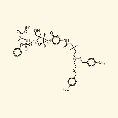 CC(C)OC(=O)[C@H](C)NP(=O)(OC[C@H]1OC2(F)[C@@H](n3ccc(NC(=O)CC(C)(C)CC[C@H](CCSCc4ccc(C(F)(F)F)cc4)SCc4ccc(C(F)(F)F)cc4)nc3=O)C2(F)C1(C)CO)Oc1ccccc1